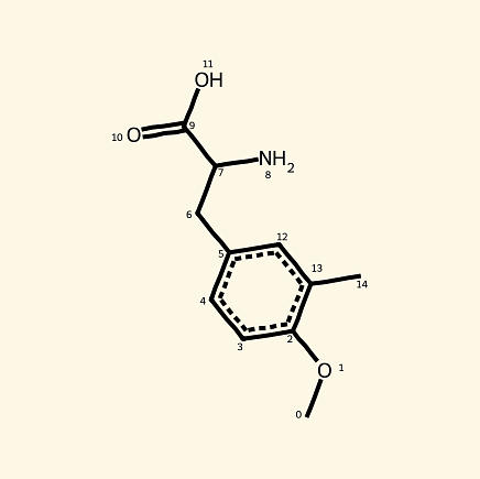 COc1ccc(CC(N)C(=O)O)cc1C